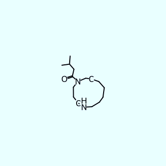 CC(C)CC(=O)N1CCCCCCCNCCC1